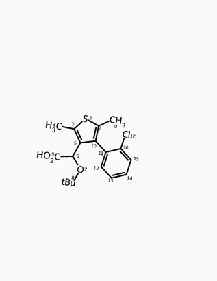 Cc1sc(C)c(C(OC(C)(C)C)C(=O)O)c1-c1ccccc1Cl